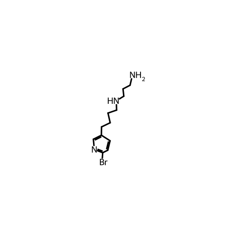 NCCCNCCCCc1ccc(Br)nc1